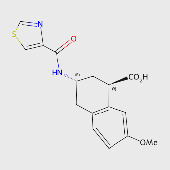 COc1ccc2c(c1)[C@H](C(=O)O)C[C@@H](NC(=O)c1cscn1)C2